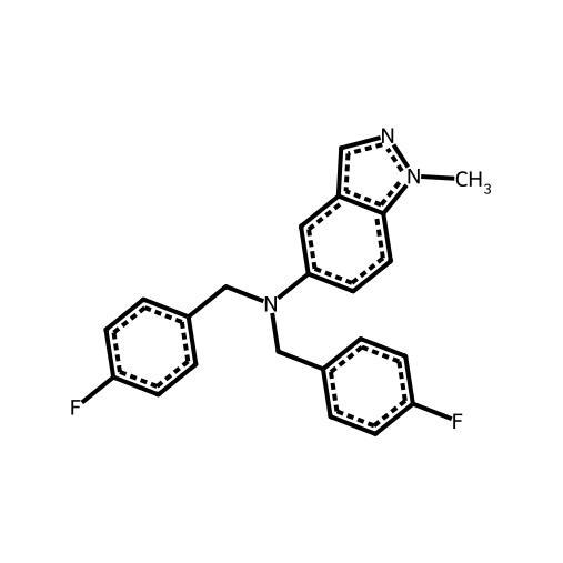 Cn1ncc2cc(N(Cc3ccc(F)cc3)Cc3ccc(F)cc3)ccc21